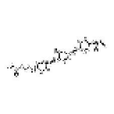 C=CC(=O)OCCOc1ccc(C#Cc2ccc(C#Cc3ccc(OC(=O)C=C)cc3)cc2F)cc1